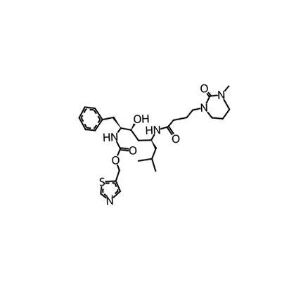 CC(C)C[C@@H](C[C@H](O)[C@H](Cc1ccccc1)NC(=O)OCc1cncs1)NC(=O)CCCN1CCCN(C)C1=O